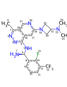 Cc1nnc(N[C@H](N)c2cccc(C(F)(F)F)c2F)c2cc(N3CC(N(C)C)C3)ncc12